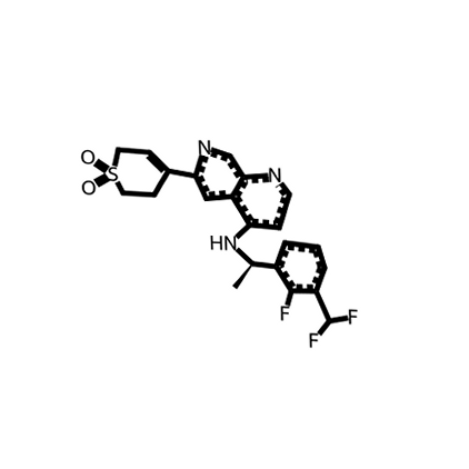 C[C@@H](Nc1ccnc2cnc(C3=CCS(=O)(=O)CC3)cc12)c1cccc(C(F)F)c1F